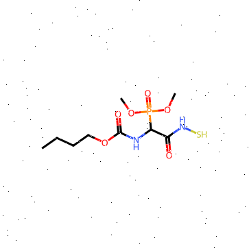 CCCCOC(=O)NC(C(=O)NS)P(=O)(OC)OC